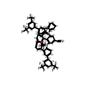 N#Cc1cc(-n2c3ccccc3c3cc(-c4cc(C(F)(F)F)cc(C(F)(F)F)c4)ccc32)c(-c2c(C(F)(F)F)cccc2C(F)(F)F)c(-n2c3ccccc3c3cc(-c4cc(C(F)(F)F)cc(C(F)(F)F)c4)ccc32)c1